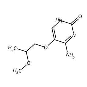 COC(C)COc1c[nH]c(=O)nc1N